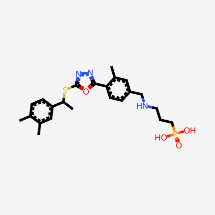 Cc1ccc(C(C)Sc2nnc(-c3ccc(CNCCCP(=O)(O)O)cc3C)o2)cc1C